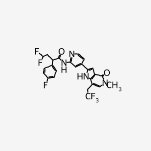 Cn1cc(CC(F)(F)F)c2[nH]c(-c3ccnc(NC(=O)C(CC(F)F)c4ccc(F)cc4)c3)cc2c1=O